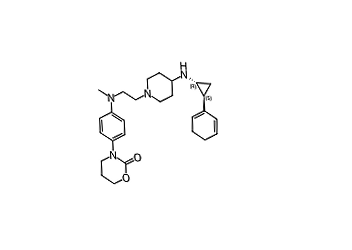 CN(CCN1CCC(N[C@@H]2C[C@H]2C2=CCCC=C2)CC1)c1ccc(N2CCCOC2=O)cc1